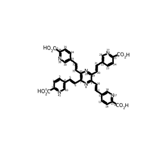 O=C(O)c1ccc(C=Cc2nc(C=Cc3ccc(C(=O)O)nc3)c(C=Cc3ccc(C(=O)O)nc3)nc2C=Cc2ccc(C(=O)O)nc2)cn1